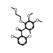 COCCOc1c(OC)c(OC)cc(C)c1C(=O)c1c(Cl)cccc1Cl